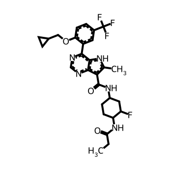 CCC(=O)NC1CCC(NC(=O)c2c(C)[nH]c3c(-c4cc(C(F)(F)F)ccc4OCC4CC4)ncnc23)CC1F